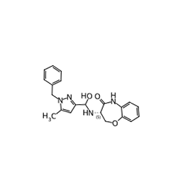 Cc1cc(C(O)N[C@H]2COc3ccccc3NC2=O)nn1Cc1ccccc1